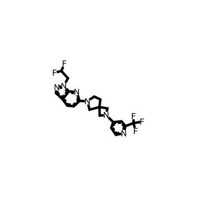 FC(F)Cn1ncc2ccc(N3CCC4(CN(c5ccnc(C(F)(F)F)c5)C4)C3)nc21